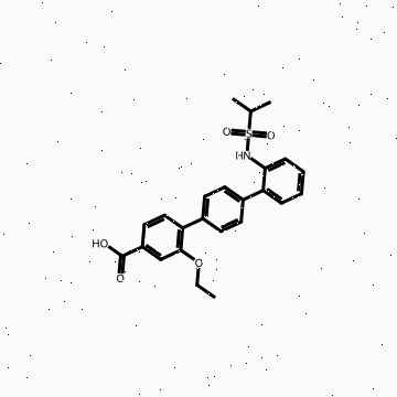 CCOc1cc(C(=O)O)ccc1-c1ccc(-c2ccccc2NS(=O)(=O)C(C)C)cc1